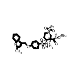 Cc1cc(COc2ccc(S(=O)(=O)N[C@@H]3CCN(S(=O)(=O)C(C)C)C[C@]3(C)C(=O)NOC(C)(C)C)cc2)c2ccccc2n1